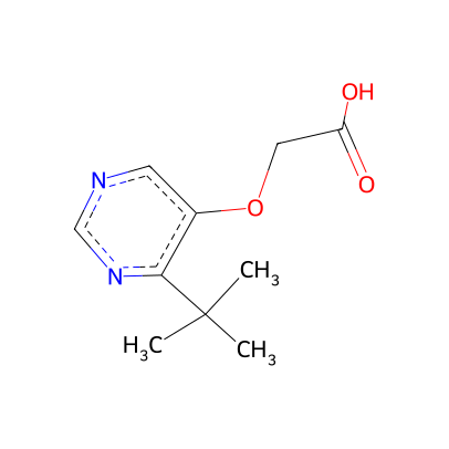 CC(C)(C)c1ncncc1OCC(=O)O